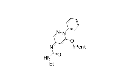 CCCCCOc1c/c(=N\C(=O)NCC)cnn1-c1ccccc1